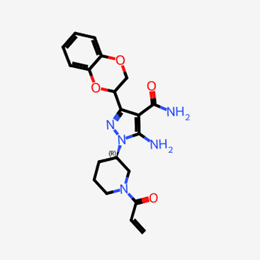 C=CC(=O)N1CCC[C@@H](n2nc(C3COc4ccccc4O3)c(C(N)=O)c2N)C1